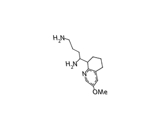 COc1cnc2c(c1)CCCC2C(N)CCCN